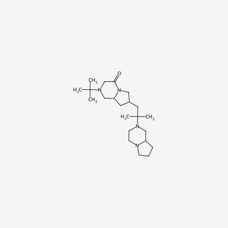 CC(C)(C)N1CC(=O)N2CC(CC(C)(C)N3CCN4CCCC4C3)CC2C1